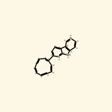 c1ccccc(-c2ccc3c(n2)[nH]c2ccncc23)cccc1